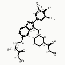 Cc1cc(-c2nc3ccc(CN[C@H](C(=O)OC(C)C)C(C)C)cc3n2C[C@@H]2CCCN(C(=O)OC(C)(C)C)C2)cn(C)c1=O